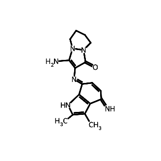 Cc1[nH]c2c(c1C)C(=N)C=CC2=Nc1c(N)n2n(c1=O)CCCC2